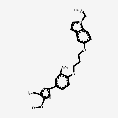 CCOc1nc(-c2ccc(OCCCOc3ccc4c(ccn4CC(=O)O)c3)c(OC)c2)sc1C